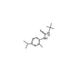 Cc1cc(C(C)C)ccc1NC(=S)NC(C)(C)C